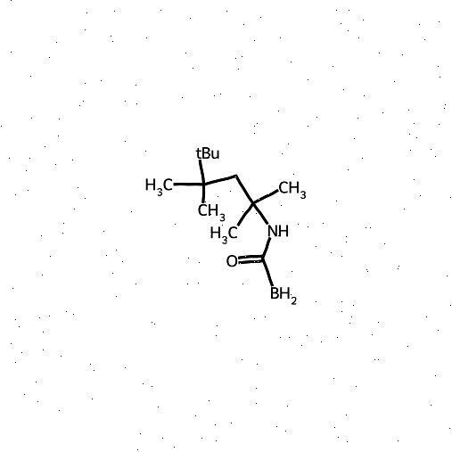 BC(=O)NC(C)(C)CC(C)(C)C(C)(C)C